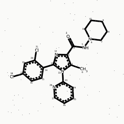 Cc1c(C(=O)NN2CCCCC2)nc(-c2ccc(Cl)cc2Cl)n1-c1ccccn1